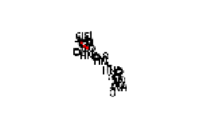 O=C1CCC(N2C(=O)c3cccc(NCCCNC(=O)c4ccc(NC(=O)[C@@H]5NC6(CCCCC6)[C@]67C(=O)Nc8cc(Cl)c(cc86)-c6c(Cl)cccc6[C@@H]57)cc4)c3C2=O)C(=O)N1